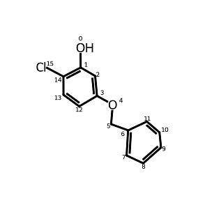 Oc1cc(OCc2ccccc2)ccc1Cl